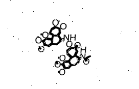 CN[C@H]1CCc2cc(OC)c(OC)c(OC)c2-c2ccc(OC)c(=O)cc21.COc1cc2c(c(OC)c1OC)-c1ccc(OC)c(=O)cc1[C@@H](NC(C)=O)CC2